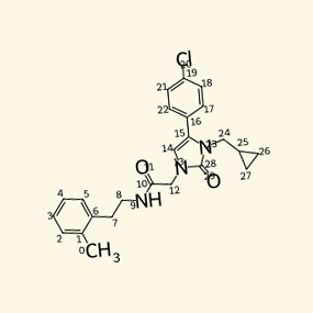 Cc1ccccc1CCNC(=O)Cn1cc(-c2ccc(Cl)cc2)n(CC2CC2)c1=O